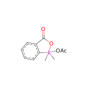 CC(=O)OI1(C)(C)OC(=O)c2ccccc21